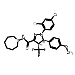 COc1ccc([C@H]2[C@@H](C(F)(F)F)C(C(=O)NN3CCCCCC3)=NN2c2ccc(Cl)cc2Cl)cc1